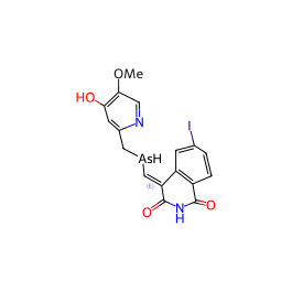 COc1cnc(C[AsH]/C=C2/C(=O)NC(=O)c3ccc(I)cc32)cc1O